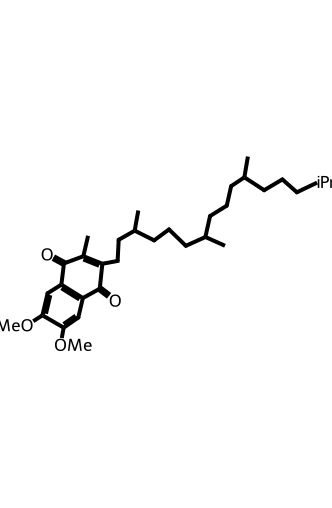 COc1cc2c(cc1OC)C(=O)C(CCC(C)CCCC(C)CCCC(C)CCCC(C)C)=C(C)C2=O